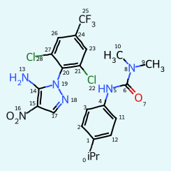 CC(C)c1ccc(NC(=O)N(C)C)cc1.Nc1c([N+](=O)[O-])cnn1-c1c(Cl)cc(C(F)(F)F)cc1Cl